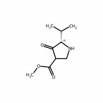 COC(=O)C1CN[C@@H](C(C)C)C1=O